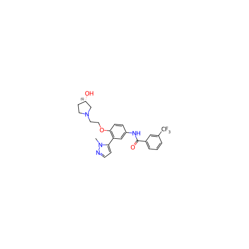 Cn1nccc1-c1cc(NC(=O)c2cccc(C(F)(F)F)c2)ccc1OCCN1CC[C@H](O)C1